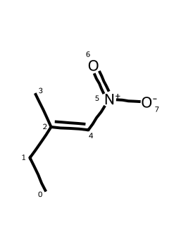 CCC(C)=C[N+](=O)[O-]